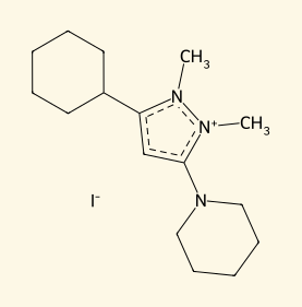 Cn1c(C2CCCCC2)cc(N2CCCCC2)[n+]1C.[I-]